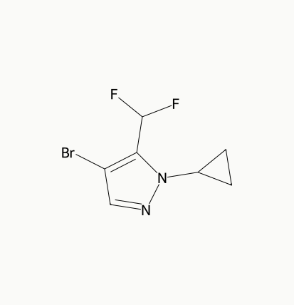 FC(F)c1c(Br)cnn1C1CC1